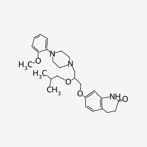 COc1ccccc1N1CCN(CC(COc2ccc3c(c2)NC(=O)CC3)OCC(C)C)CC1